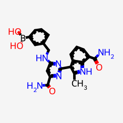 Cc1[nH]c2c(C(N)=O)cccc2c1-c1nc(NCc2cccc(B(O)O)c2)cc(C(N)=O)n1